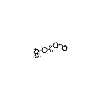 COc1cncc(N2C[C@@H](C)N(C(=O)OC3CCN(Cc4ccccc4)CC3)C[C@H]2C)n1